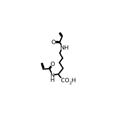 C=CC(=O)NCCCCC(NC(=O)C=C)C(=O)O